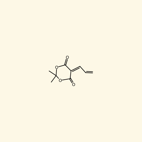 C=CC=C1C(=O)OC(C)(C)OC1=O